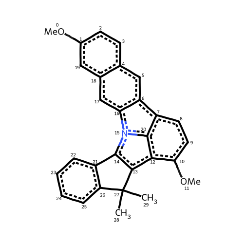 COc1ccc2cc3c4ccc(OC)c5c6c(n(c3cc2c1)c54)-c1ccccc1C6(C)C